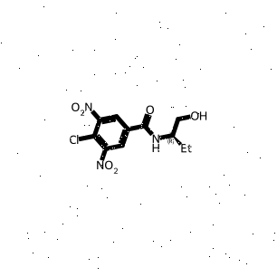 CC[C@H](CO)NC(=O)c1cc([N+](=O)[O-])c(Cl)c([N+](=O)[O-])c1